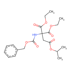 CCOC(=O)C(CC(=O)OC(C)C)(NC(=O)OCc1ccccc1)C(=O)OCC